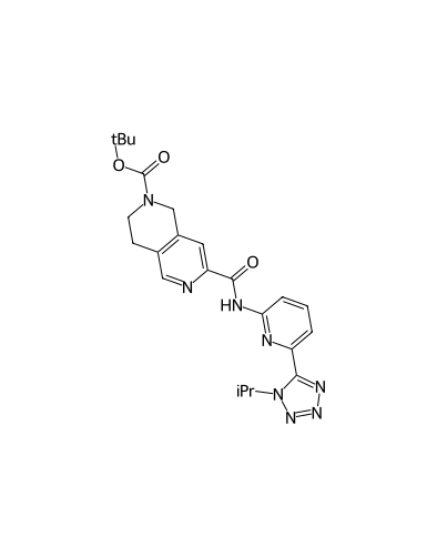 CC(C)n1nnnc1-c1cccc(NC(=O)c2cc3c(cn2)CCN(C(=O)OC(C)(C)C)C3)n1